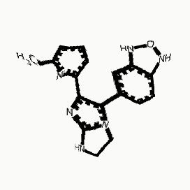 Cc1cccc(-c2nc3n(c2-c2ccc4c(c2)NON4)CCN3)n1